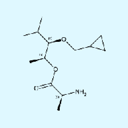 CC(C)[C@@H](OCC1CC1)[C@H](C)OC(=O)[C@H](C)N